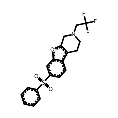 O=S(=O)(c1ccccc1)c1ccc2c3c(oc2c1)CN(CC(F)(F)F)CC3